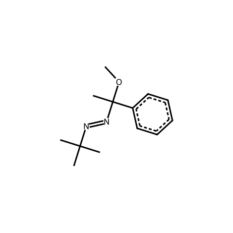 COC(C)(/N=N/C(C)(C)C)c1ccccc1